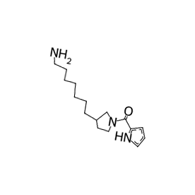 NCCCCCCCC1CCN(C(=O)c2ccc[nH]2)C1